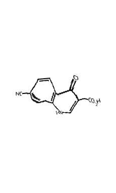 N#Cc1ccc2c(=O)c(C(=O)O)c[nH]c2c1